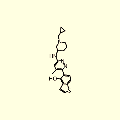 Cc1cc(NC2CCCN(CC3CC3)C2)nnc1-c1ccc2sccc2c1O